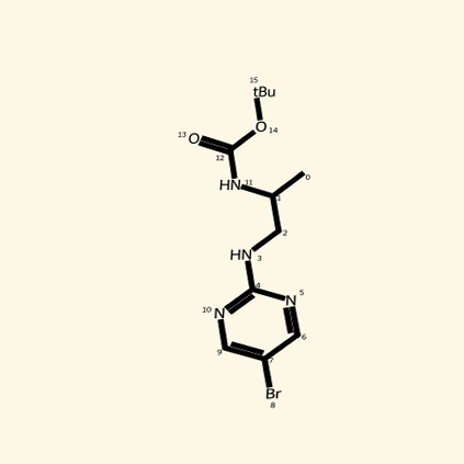 CC(CNc1ncc(Br)cn1)NC(=O)OC(C)(C)C